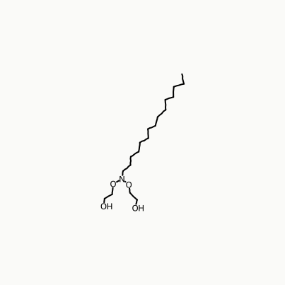 CCCCCCCCCCCCCCCN(OCCO)OCCO